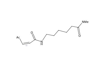 CNC(=O)CCCCCNC(=O)/C=C\C(C)=O